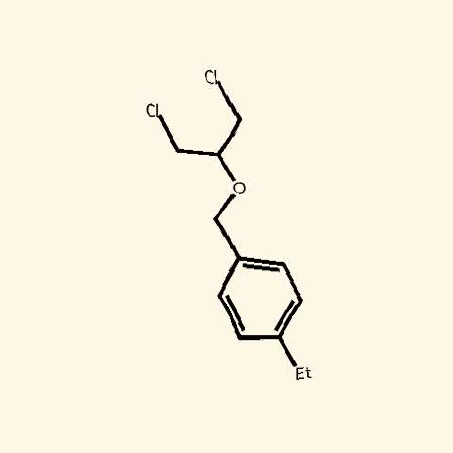 CCc1ccc(COC(CCl)CCl)cc1